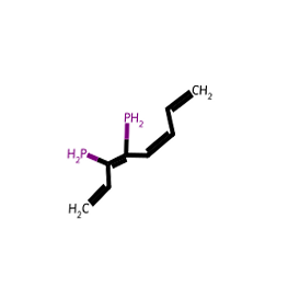 C=C/C=C\C(P)=C(\P)C=C